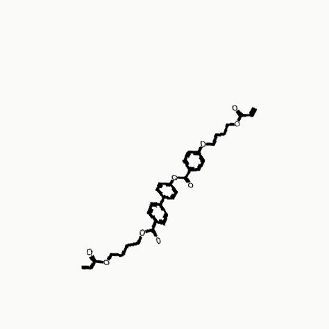 C=CC(=O)OCCCCOC(=O)c1ccc(-c2ccc(OC(=O)c3ccc(OCCCCOC(=O)C=C)cc3)cc2)cc1